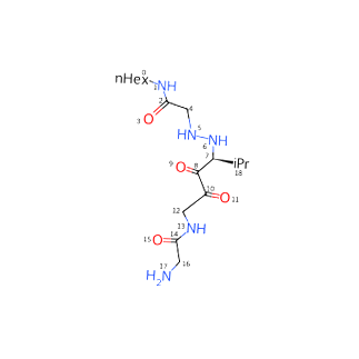 CCCCCCNC(=O)CNN[C@H](C(=O)C(=O)CNC(=O)CN)C(C)C